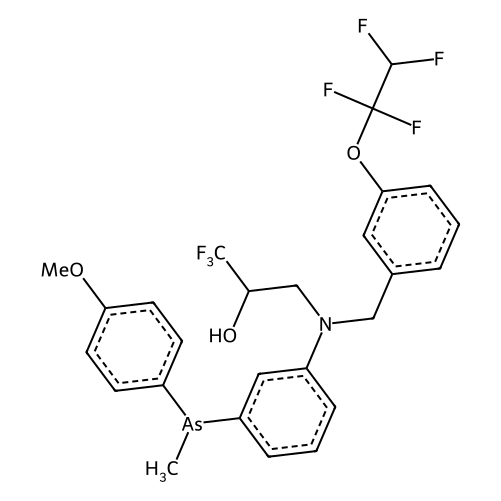 COc1ccc([As](C)c2cccc(N(Cc3cccc(OC(F)(F)C(F)F)c3)CC(O)C(F)(F)F)c2)cc1